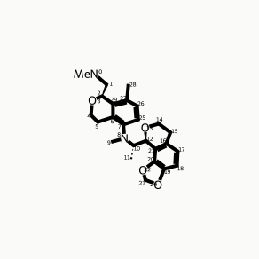 CNC[C@@H]1OCCc2c(N(C)[C@@H](C)[C@H]3OCCc4ccc5c(c43)OCO5)ccc(C)c21